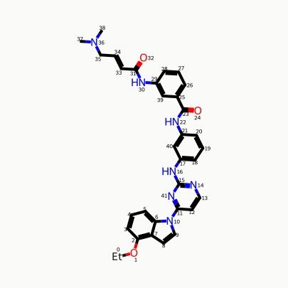 CCOc1cccc2c1ccn2-c1ccnc(Nc2cccc(NC(=O)c3cccc(NC(=O)C=CCN(C)C)c3)c2)n1